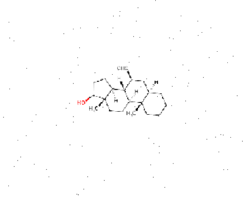 C[C@]12CCCC[C@@H]1C[C@H](C=O)[C@@H]1[C@@H]2CC[C@]2(C)[C@@H](O)CC[C@@H]12